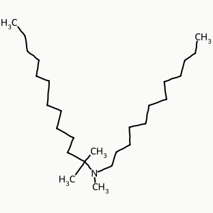 CCCCCCCCCCCCN(C)C(C)(C)CCCCCCCCCCC